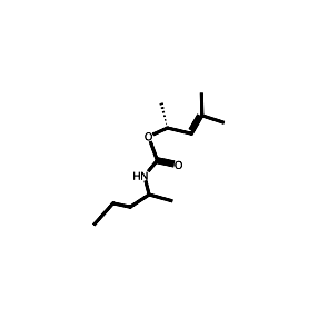 CCCC(C)NC(=O)O[C@H](C)C=C(C)C